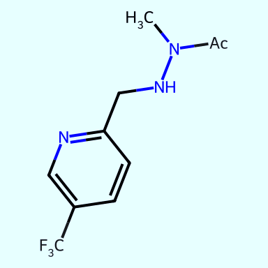 CC(=O)N(C)NCc1ccc(C(F)(F)F)cn1